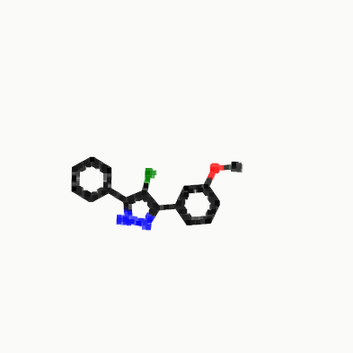 CCOc1cccc(-c2n[nH]c(-c3ccccc3)c2Br)c1